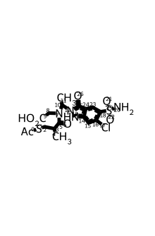 CC(=O)SCC(C)C(=O)N(CC(=O)O)C(C)n1[nH]c2cc(Cl)c(S(N)(=O)=O)cc2c1=O